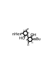 CCCCCCc1cc(C)cc(-c2cc(C)cc(CCCC)c2O)c1O